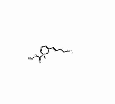 CC(C)(C)OC(=O)[N+]1(C)C=NC=C(/C=C/CCN)C1